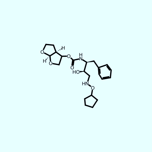 O=C(N[C@@H](Cc1ccccc1)[C@H](O)CNOC1CCCC1)OC1CO[C@H]2OCC[C@@H]12